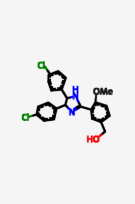 COc1ccc(CO)cc1C1=NC(c2ccc(Cl)cc2)C(c2ccc(Cl)cc2)N1